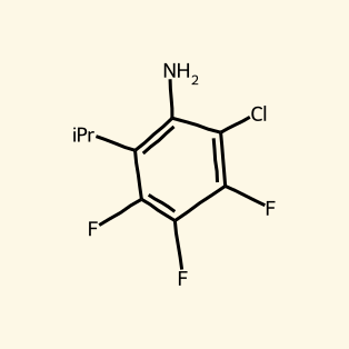 CC(C)c1c(N)c(Cl)c(F)c(F)c1F